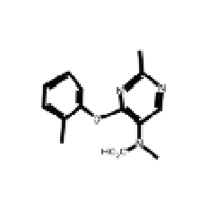 Cc1ncc(N(C)C(=O)O)c(Oc2ccccc2C)n1